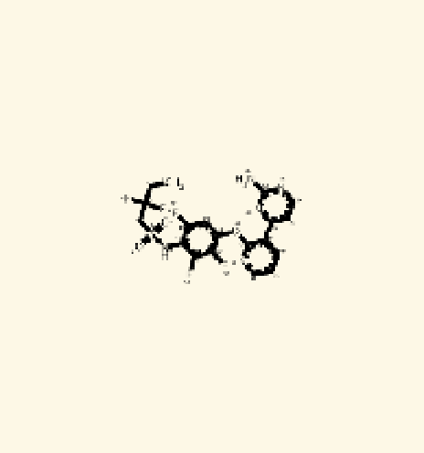 CCC(F)(F)CS(=O)(=O)Nc1c(F)cc(Oc2ncccc2-c2ccnc(N)n2)c(F)c1F